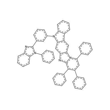 c1ccc(-c2cc(-c3ccccc3)n3c(nc4cc5c(cc43)c3ccccc3n5-c3cccc(-c4nc5ccccc5n4-c4ccccc4)c3)c2-c2ccccc2)cc1